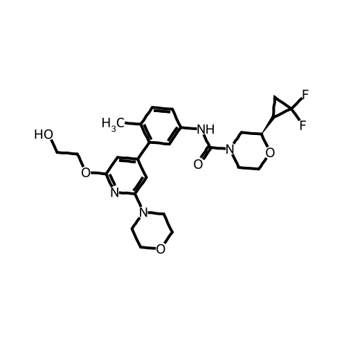 Cc1ccc(NC(=O)N2CCO[C@H](C3CC3(F)F)C2)cc1-c1cc(OCCO)nc(N2CCOCC2)c1